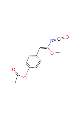 COC(=Cc1ccc(OC(C)=O)cc1)N=C=O